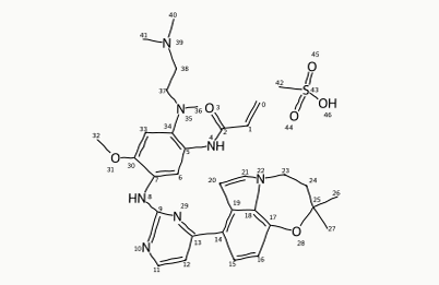 C=CC(=O)Nc1cc(Nc2nccc(-c3ccc4c5c3ccn5CCC(C)(C)O4)n2)c(OC)cc1N(C)CCN(C)C.CS(=O)(=O)O